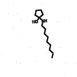 CCCCCCCCCNC1(O)CCCC1